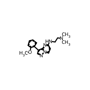 COc1ccccc1-c1cnn2ccc(NCCN(C)C)nc12